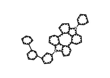 c1ccc(-c2cccc(-c3cccc(-n4c5cccc6c7cccc8c7c7c(cccc7n8-c7ccccc7)c7cccc4c7c65)c3)c2)cc1